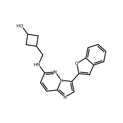 OC1CC(CNc2ccc3ncc(-c4cc5ccccc5o4)n3n2)C1